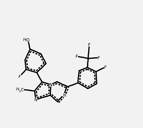 Cc1nc2cnc(-c3ccc(F)c(C(F)(F)F)c3)cn2c1-c1ccc(O)cc1F